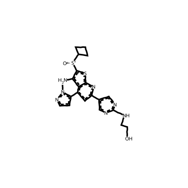 Cn1nccc1-c1cc(-c2cnc(NCCO)nc2)nc2sc([S@+]([O-])C3CCC3)c(N)c12